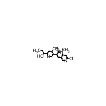 CCC(O)c1cc(C)c(-c2cc3cnc(Cl)cc3n(C)c2=O)cn1